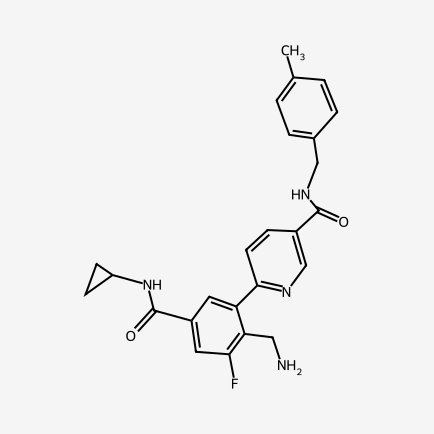 Cc1ccc(CNC(=O)c2ccc(-c3cc(C(=O)NC4CC4)cc(F)c3CN)nc2)cc1